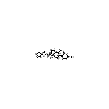 C[C@]12CCC(O)CC1CCC1C2CC[C@]2(C)C(CCC[C@@]3(O)CCOC3)CCC12